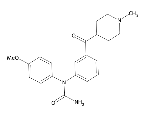 COc1ccc(N(C(N)=O)c2cccc(C(=O)C3CCN(C)CC3)c2)cc1